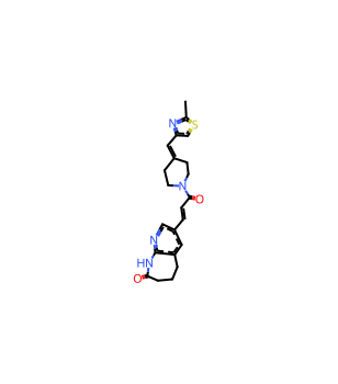 Cc1nc(C=C2CCN(C(=O)/C=C/c3cnc4c(c3)CCCC(=O)N4)CC2)cs1